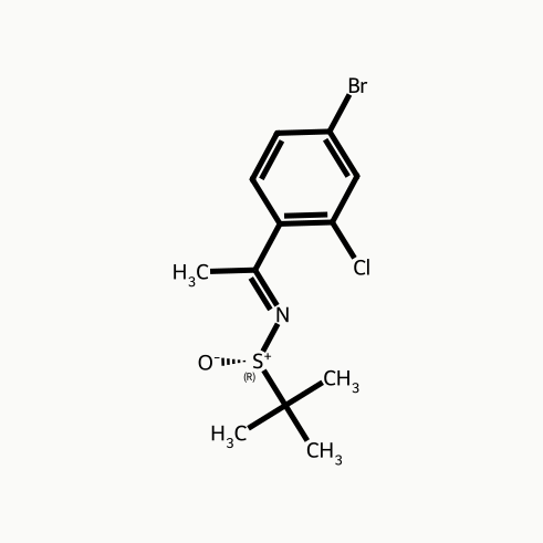 CC(=N[S@@+]([O-])C(C)(C)C)c1ccc(Br)cc1Cl